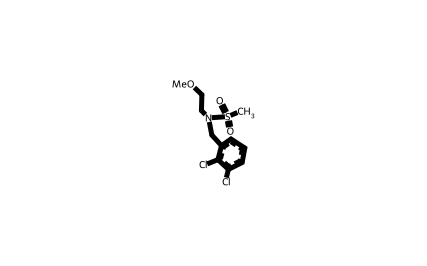 COCCN(Cc1cccc(Cl)c1Cl)S(C)(=O)=O